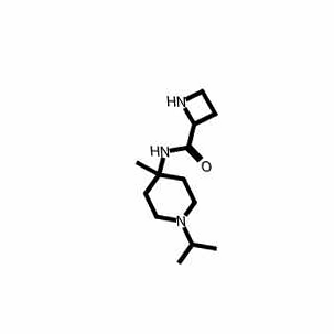 CC(C)N1CCC(C)(NC(=O)C2CCN2)CC1